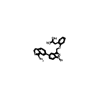 CC(C)n1nc(COc2ccccc2CC(O)O)c2cc(-c3ccc4ccnc(N)c4c3)ccc21